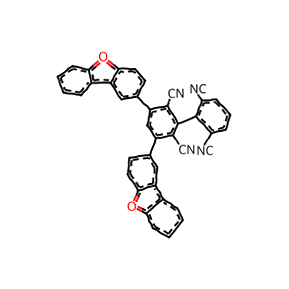 N#Cc1cccc(C#N)c1-c1c(C#N)c(-c2ccc3oc4ccccc4c3c2)cc(-c2ccc3oc4ccccc4c3c2)c1C#N